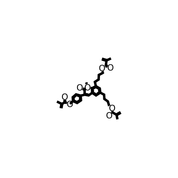 C=C(C)C(=O)OCCCCc1cc(/C=C(\C=O)c2ccc(OC(=O)C(=C)C)cc2)c(OC)c(CCCCOC(=O)C(=C)C)c1